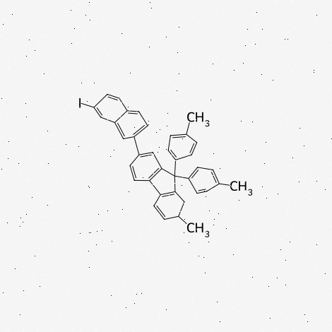 Cc1ccc(C2(c3ccc(C)cc3)C3=C(C=CC(C)C3)c3ccc(-c4ccc5ccc(I)cc5c4)cc32)cc1